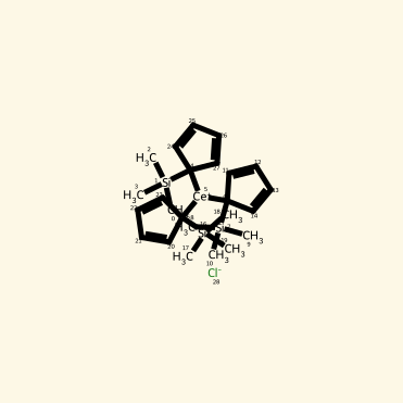 C[Si](C)(C)[C]1([Ce+]([C]2([Si](C)(C)C)C=CC=C2)[C]2([Si](C)(C)C)C=CC=C2)C=CC=C1.[Cl-]